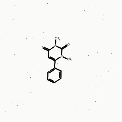 Cn1c(-c2ccccc2)cc(=S)n(C)c1=O